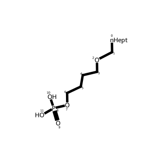 CCCCCCCCOCCCCOP(=O)(O)O